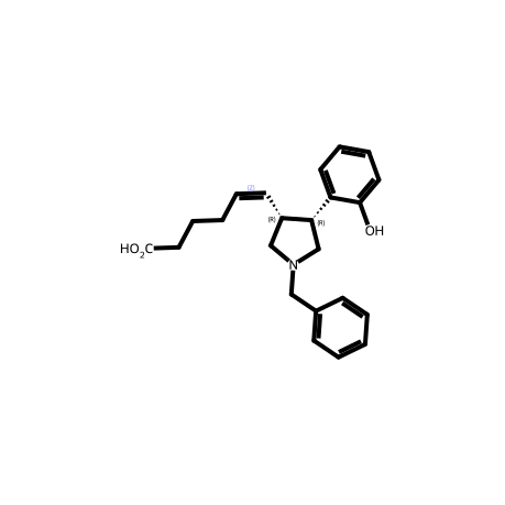 O=C(O)CCC/C=C\[C@H]1CN(Cc2ccccc2)C[C@H]1c1ccccc1O